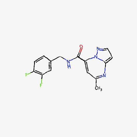 Cc1cc(C(=O)NCc2ccc(F)c(F)c2)n2nccc2n1